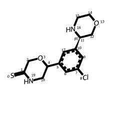 S=C1COC(c2cc(Cl)cc([C@@H]3COCCN3)c2)CN1